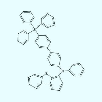 c1ccc(N(c2ccc(-c3ccc([Si](c4ccccc4)(c4ccccc4)c4ccccc4)cc3)cc2)c2cccc3c2sc2ccccc23)cc1